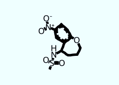 CS(=O)(=O)NC1CCCOc2ccc([N+](=O)[O-])cc21